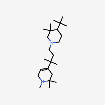 CN1CC=C(C(C)(C)CCN2CCC(C(C)(C)C)C(C)(C)C2)CC1(C)C